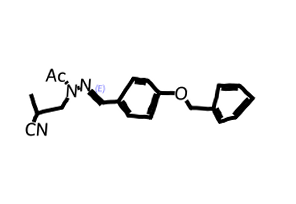 CC(=O)N(CC(C)C#N)/N=C/c1ccc(OCc2ccccc2)cc1